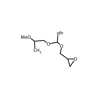 CCCC(OCC(C)OC)OCC1CO1